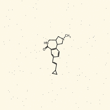 CN1CC2CNC(=O)c3cc(/C=C/C4CC4)ccc3C2C1